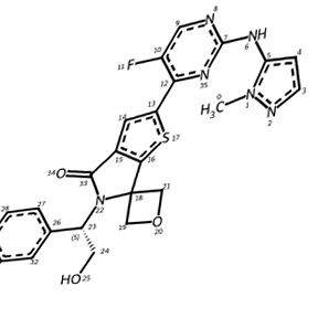 Cn1nccc1Nc1ncc(F)c(-c2cc3c(s2)C2(COC2)N([C@H](CO)c2cccc(Cl)c2)C3=O)n1